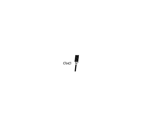 C#[N+]C.Cl.[Cl-]